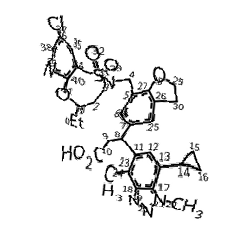 CC[C@@H]1CN(Cc2cc(C(CC(=O)O)c3cc(C4CC4)c4c(nnn4C)c3C)cc3c2OCC3)S(=O)(=O)c2cc(Cl)cnc2O1